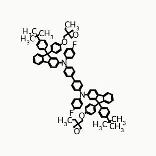 CCC1(COc2ccc(C3(c4ccc(C(C)(C)C)cc4)c4ccccc4-c4ccc(N(c5ccc(F)cc5)c5ccc(-c6ccc(N(c7ccc(F)cc7)c7ccc8c(c7)C(c7ccc(OCC9(CC)COC9)cc7)(c7ccc(C(C)(C)C)cc7)c7ccccc7-8)cc6)cc5)cc43)cc2)COC1